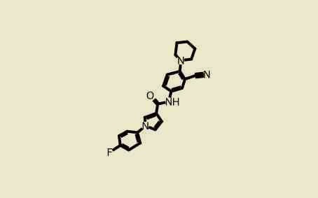 N#Cc1cc(NC(=O)c2ccn(-c3ccc(F)cc3)c2)ccc1N1CCCCC1